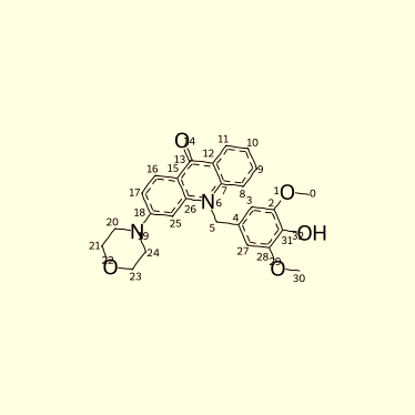 COc1cc(Cn2c3ccccc3c(=O)c3ccc(N4CCOCC4)cc32)cc(OC)c1O